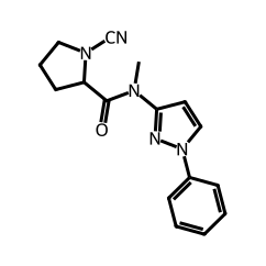 CN(C(=O)C1CCCN1C#N)c1ccn(-c2ccccc2)n1